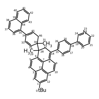 CC(C)(C)c1cc2ccc3c4c(ccc(c1)c24)=C(c1ccc(-c2cccnc2)cc1)CC3(C)C1(C)C=CC(c2cccc3ccccc23)=CC1